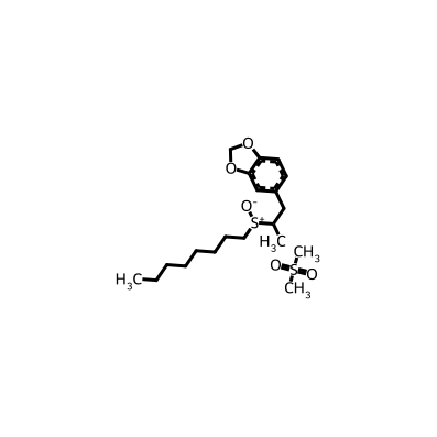 CCCCCCCC[S+]([O-])C(C)Cc1ccc2c(c1)OCO2.CS(C)(=O)=O